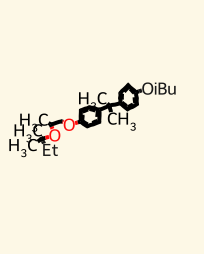 CCC(C)(C)OC(C)COc1ccc(C(C)(C)c2ccc(OCC(C)C)cc2)cc1